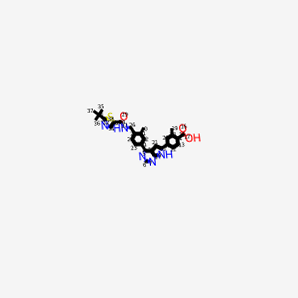 Cc1cc(-c2ncnc3[nH]c(-c4ccc(C(=O)O)c(C)c4)cc23)ccc1CNC(=O)c1cnc(C(C)(C)C)s1